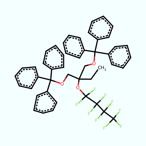 CCC(COC(c1ccccc1)(c1ccccc1)c1ccccc1)(COC(c1ccccc1)(c1ccccc1)c1ccccc1)OC(F)(F)C(F)(F)C(F)(F)C(F)(F)F